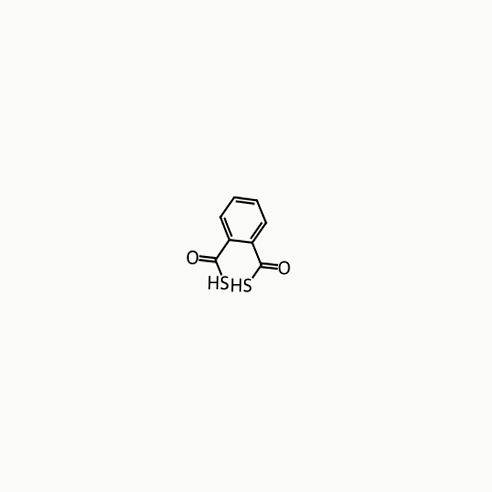 O=C(S)c1ccccc1C(=O)S